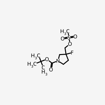 CC(C)(C)OC(=O)N1CCC(F)(COS(C)(=O)=O)C1